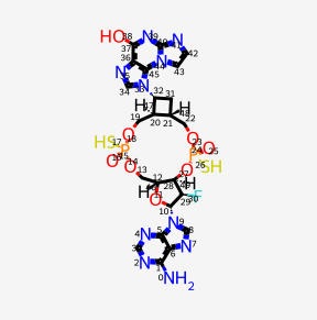 Nc1ncnc2c1ncn2[C@@H]1O[C@@H]2CO[P@@](=O)(S)OC[C@@H]3[C@@H](CO[P@](=O)(S)O[C@H]2[C@H]1F)C[C@H]3n1cnc2c(O)nc3nccn3c21